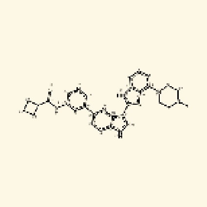 CN1CCN(c2cccc3[nH]c(-c4n[nH]c5ccc(-c6cncc(NC(=O)C7CCC7)c6)nc45)cc23)CC1